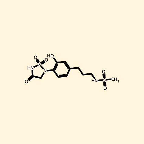 CS(=O)(=O)NCCCc1ccc(N2CC(=O)NS2(=O)=O)c(O)c1